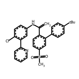 C=C(Nc1ccc(Cl)c(-c2ccccn2)c1)c1ccc(S(C)(=O)=O)cc1-c1ccc(C(C)(C)C)cc1